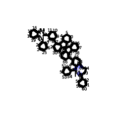 C1=CC2=C(CC1)c1c(-c3cccc(-c4nc5ccccc5n4-c4ccccc4)c3)cccc1C21c2ccccc2-c2c(-c3ccc4/c(c3)=C(c3ccccc3)\N=C(\c3ccccc3)CC/C=4)cccc21